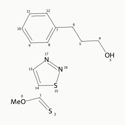 COC=S.OCCCc1ccccc1.c1csnn1